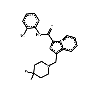 N#Cc1cccnc1NC(=O)c1nc(CN2CCC(F)(F)CC2)c2ccccn12